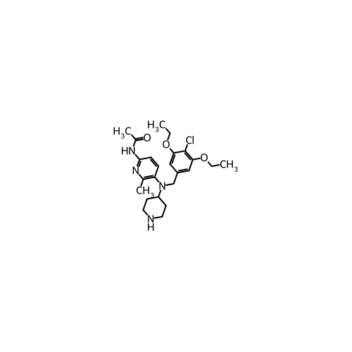 CCOc1cc(CN(c2ccc(NC(C)=O)nc2C)C2CCNCC2)cc(OCC)c1Cl